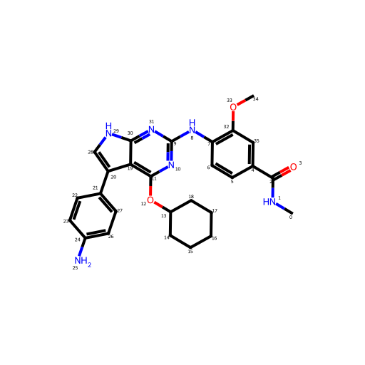 CNC(=O)c1ccc(Nc2nc(OC3CCCCC3)c3c(-c4ccc(N)cc4)c[nH]c3n2)c(OC)c1